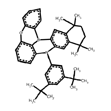 CC(C)(C)c1cc(N2c3cc4c(cc3B3c5ccccc5Oc5cccc2c53)C(C)(C)CCC4(C)C)cc(C(C)(C)C)c1